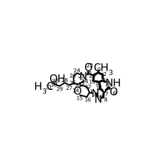 Cc1cc2[nH]c(=O)c3cnn(C4CCOCC4)c3c2cc1C(=O)N1CCC(CCCC(C)O)CC1